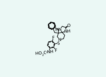 O=C(O)Nc1ccc(F)c(SN2CCC3(NCC(=O)N3)C(Cc3ccccc3)(Cc3ccccc3)C2)c1F